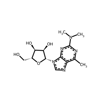 Cc1nc(N(C)C)nc2c1ncn2[C@@H]1O[C@H](CO)[C@@H](O)[C@H]1O